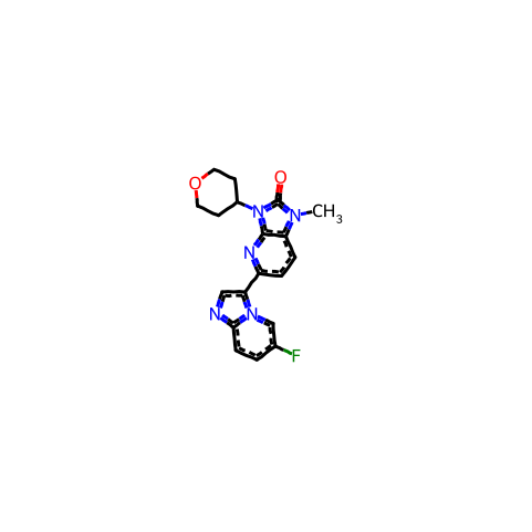 Cn1c(=O)n(C2CCOCC2)c2nc(-c3cnc4ccc(F)cn34)ccc21